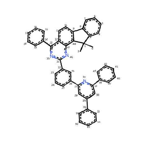 CC1(C)c2ccccc2-c2ccc3c(-c4ccccc4)nc(-c4cccc(-c5cc(-c6ccccc6)cc(-c6ccccc6)n5)c4)nc3c21